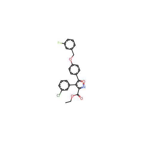 CCOC(=O)c1noc(-c2ccc(OCc3cccc(F)c3)cc2)c1-c1cccc(Cl)c1